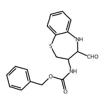 O=CC1Nc2ccccc2SCC1NC(=O)OCc1ccccc1